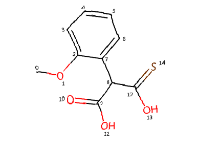 COc1ccccc1C(C(=O)O)C(O)=S